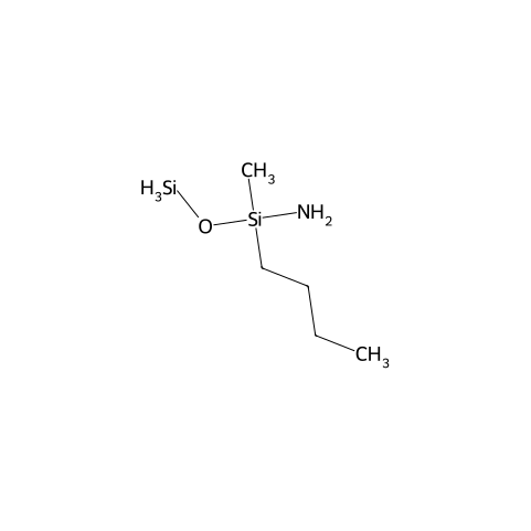 CCCC[Si](C)(N)O[SiH3]